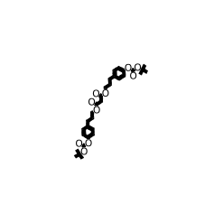 CC(C)(C)OC(=O)Oc1ccc(CCCOC(=O)CC(=O)OCCCc2ccc(OC(=O)OC(C)(C)C)cc2)cc1